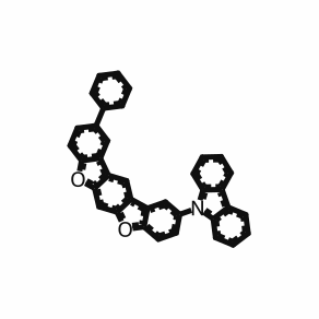 c1ccc(-c2ccc3oc4cc5oc6ccc(-n7c8ccccc8c8ccccc87)cc6c5cc4c3c2)cc1